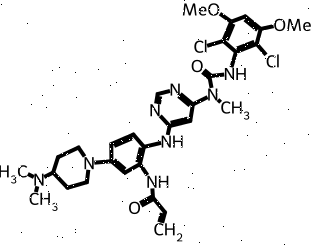 C=CC(=O)Nc1cc(N2CCC(N(C)C)CC2)ccc1Nc1cc(N(C)C(=O)Nc2c(Cl)c(OC)cc(OC)c2Cl)ncn1